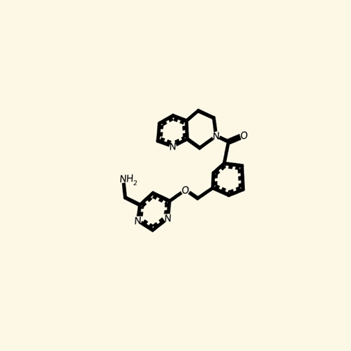 NCc1cc(OCc2cccc(C(=O)N3CCc4cccnc4C3)c2)ncn1